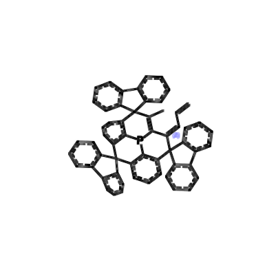 C=C/C=C1\C2=C(C)C3(c4ccccc4-c4ccccc43)c3cccc4c3P2c2c(cccc2C42c3ccccc3-c3ccccc32)C12c1ccccc1-c1ccccc12